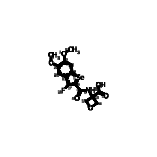 COc1cc2[se]c(C(=O)NC3(C(=O)O)COC3)c(F)c2cc1OC